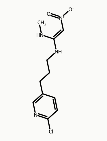 CNC(=C[N+](=O)[O-])NCCCc1ccc(Cl)nc1